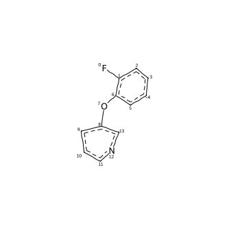 Fc1cc[c]cc1Oc1cccnc1